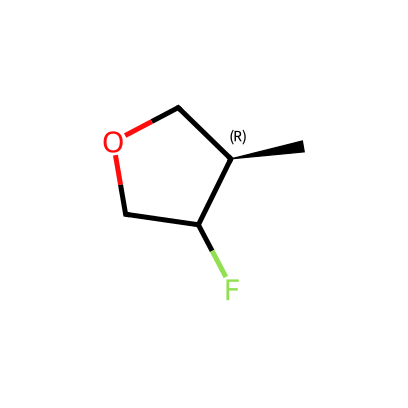 C[C@@H]1COCC1F